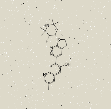 Cc1cnc2cc(-c3cc4c(nn3)N([C@H]3CC(C)(C)NC(C)(C)[C@H]3F)CC4)c(O)cc2c1